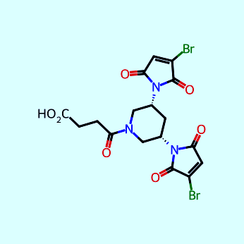 O=C(O)CCC(=O)N1C[C@H](N2C(=O)C=C(Br)C2=O)C[C@H](N2C(=O)C=C(Br)C2=O)C1